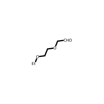 CCOCCOCC=O